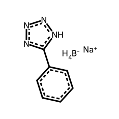 [BH4-].[Na+].c1ccc(-c2nnn[nH]2)cc1